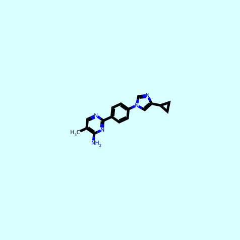 Cc1cnc(-c2ccc(-n3cnc(C4CC4)c3)cc2)nc1N